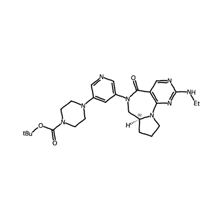 CCNc1ncc2c(n1)N1CCC[C@H]1CN(c1cncc(N3CCN(C(=O)OC(C)(C)C)CC3)c1)C2=O